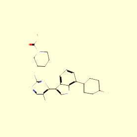 CC(C)(C)OC(=O)N1CCC[C@H](Nc2ncc(C(F)(F)F)c(-c3c[nH]c4c(C5CCC(O)CC5)cccc34)n2)C1